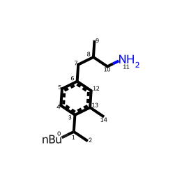 CCCCC(C)c1ccc(CC(C)CN)cc1C